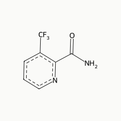 NC(=O)c1ncccc1C(F)(F)F